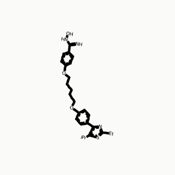 CCc1nc(-c2ccc(OCCCCCOc3ccc(C(=N)NO)cc3)cc2)c(C(C)C)s1